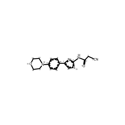 N#CCC(=O)Nc1nc(-c2ccc(N3CCOCC3)cc2)cs1